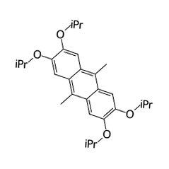 Cc1c2cc(OC(C)C)c(OC(C)C)cc2c(C)c2cc(OC(C)C)c(OC(C)C)cc12